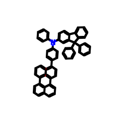 c1ccc(-c2cccc3cccc(-c4ccc(-c5ccc(N(c6ccccc6)c6ccc7c(c6)C(c6ccccc6)(c6ccccc6)c6ccccc6-7)cc5)cc4)c23)cc1